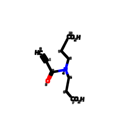 C#CC(=O)N(CCC(=O)O)CCC(=O)O